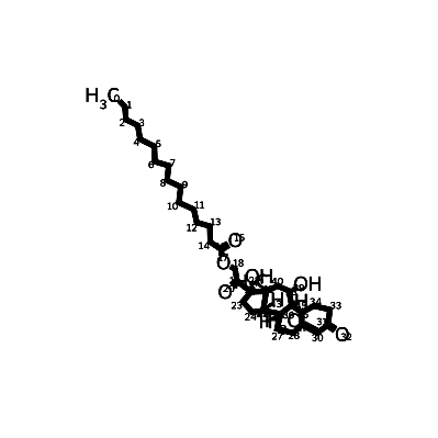 CCCCCCCCCCCCCCCC(=O)OCC(=O)[C@@]1(O)CC[C@H]2[C@@H]3CCC4=CC(=O)CC[C@]4(C)[C@H]3[C@@H](O)C[C@@]21C